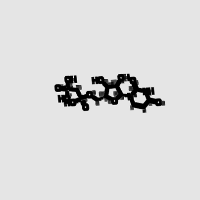 O=c1ccn([C@@H]2O[C@H](COP(=O)(O)CP(=O)(O)O)C(O)C2O)c(=O)[nH]1